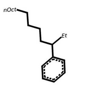 [CH2]CC(CCCCCCCCCCCC)c1ccccc1